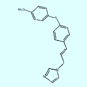 COc1ccc(Sc2ccc(C=CCn3ccnc3)cc2)cc1